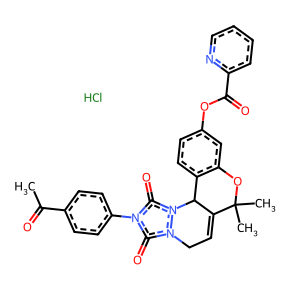 CC(=O)c1ccc(-n2c(=O)n3n(c2=O)C2C(=CC3)C(C)(C)Oc3cc(OC(=O)c4ccccn4)ccc32)cc1.Cl